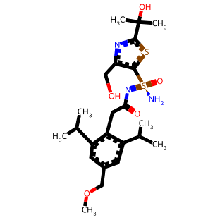 COCc1cc(C(C)C)c(CC(=O)N=[S@@](N)(=O)c2sc(C(C)(C)O)nc2CO)c(C(C)C)c1